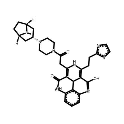 CN1[C@@H]2CC[C@H]1C[C@@H](N1CCN(C(=O)CC3=C(C(=O)O)C(c4c(Cl)cccc4Cl)C(C(=O)O)=C(CCc4nccs4)N3)CC1)C2